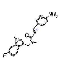 CN(Cc1cn(C)c2cc(F)ccc12)C(=O)/C=C/c1ccc(N)nc1